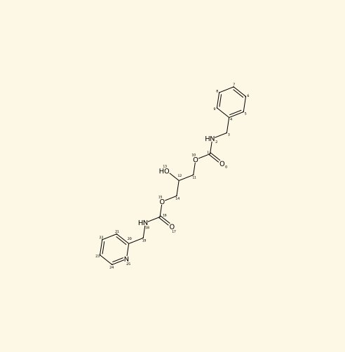 O=C(NCc1ccccc1)OCC(O)COC(=O)NCc1ccccn1